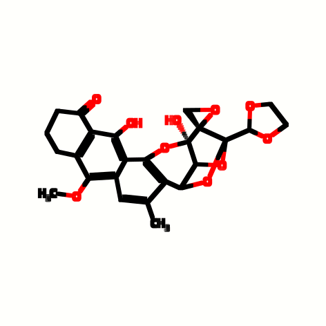 COc1c2c(c(O)c3c4c(c(C)cc13)C1OC3(C5OCCO5)OC1[C@@](O)(O4)[C@@]31CO1)C(=O)CCC2